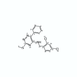 CSc1nnc(-c2ccccc2)c(NCc2ccc(Cl)cc2Cl)n1